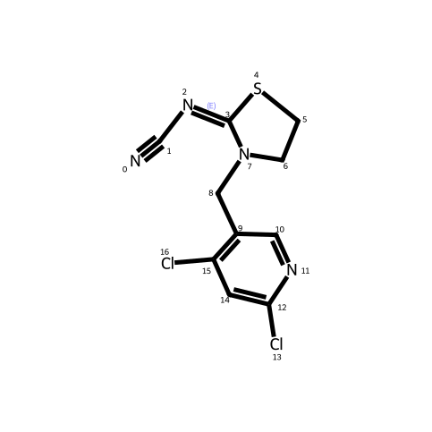 N#C/N=C1/SCCN1Cc1cnc(Cl)cc1Cl